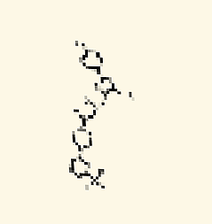 Cc1oc(-c2ccc(Cl)cc2)nc1C[S+]([O-])CC(=O)N1CCN(c2cccc(C(F)(F)F)c2)CC1